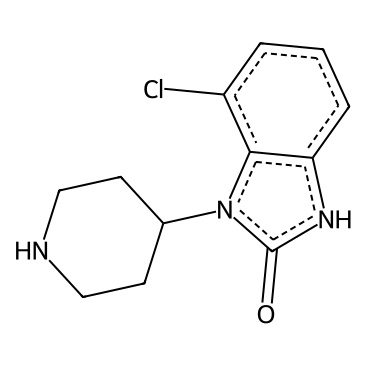 O=c1[nH]c2cccc(Cl)c2n1C1CCNCC1